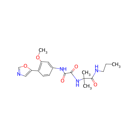 CCCNC(=O)C(C)(C)NC(=O)C(=O)Nc1ccc(-c2cnco2)c(OC)c1